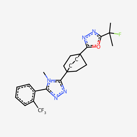 Cn1c(-c2ccccc2C(F)(F)F)nnc1C12CCC(c3nnc(C(C)(C)F)o3)(CC1)CC2